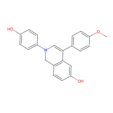 COc1ccc(C2=CN(c3ccc(O)cc3)Cc3ccc(O)cc32)cc1